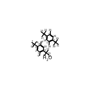 Cc1cc(C(C)(C)C)c(C)cc1C(C)(C)C.Cc1cc(C(C)(C)C)c(C)cc1C(C)(C)C.O